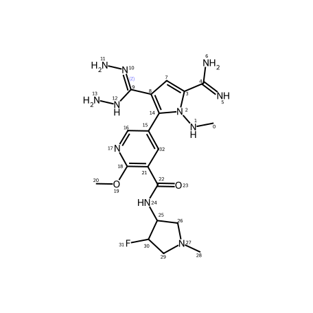 CNn1c(C(=N)N)cc(/C(=N/N)NN)c1-c1cnc(OC)c(C(=O)NC2CN(C)CC2F)c1